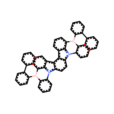 c1ccc(-c2ccccc2B2c3ccccc3-n3c4ccc5c(c6cccc7c6n5-c5ccccc5B7c5ccccc5-c5ccccc5)c4c4cccc2c43)cc1